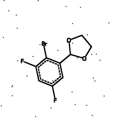 Fc1cc(F)c(Br)c(C2OCCO2)c1